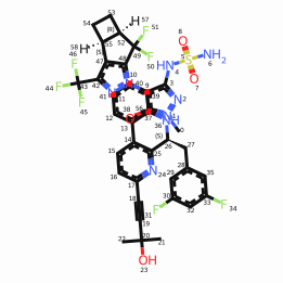 Cn1nc(NS(N)(=O)=O)c2cccc(-c3ccc(C#CC(C)(C)O)nc3[C@H](Cc3cc(F)cc(F)c3)NC(=O)Cn3nc(C(F)(F)F)c4c3C(F)(F)[C@@H]3CC[C@H]43)c21